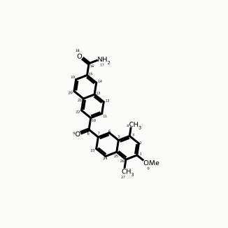 COc1cc(C)c2cc(C(=O)c3ccc4cc(C(N)=O)ccc4c3)ccc2c1C